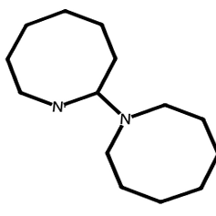 C1CCCN(C2CCCCCC[N]2)CCC1